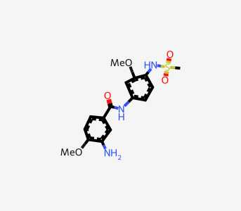 COc1ccc(C(=O)Nc2ccc(NS(C)(=O)=O)c(OC)c2)cc1N